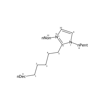 CCCCCCCCCCCCCCCc1n(CCCCC)cc[n+]1CCCCCCCCC